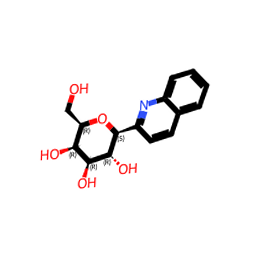 OC[C@H]1O[C@@H](c2ccc3ccccc3n2)[C@H](O)[C@@H](O)[C@H]1O